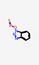 S=POn1nnc2ccccc21